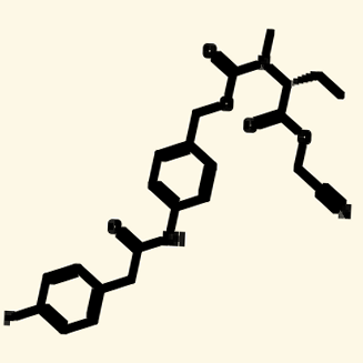 CC[C@H](C(=O)OCC#N)N(C)C(=O)OCc1ccc(NC(=O)Cc2ccc(F)cc2)cc1